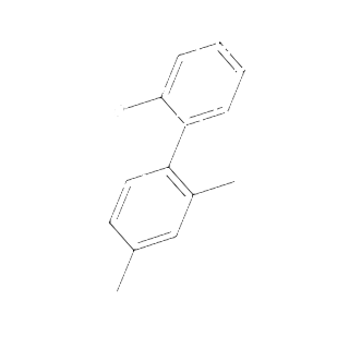 Cc1ccc(-c2ccccc2[O])c(C)c1